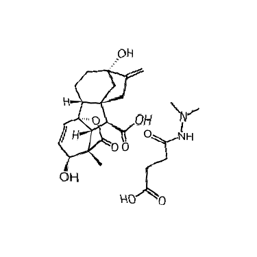 C=C1C[C@]23C[C@@]1(O)CC[C@H]2[C@@]12C=C[C@H](O)[C@@](C)(C(=O)O1)[C@H]2[C@@H]3C(=O)O.CN(C)NC(=O)CCC(=O)O